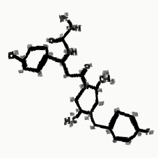 CC(C)NC(=O)NC(CC(=O)N1CC(C)N(Cc2ccc(F)cc2)CC1C)c1ccc(Cl)cc1